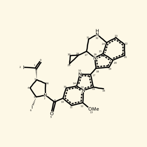 C=C(I)[C@H]1C[C@@H](I)N(C(=O)c2cc(OC)n3c(C)c(-c4cc5cccc6c5n4C(C4CC4)CN6)nc3c2)C1